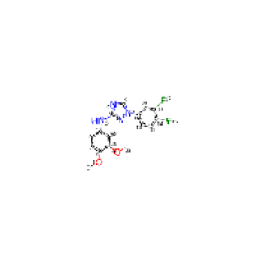 COc1ccc(Nc2ncn(-c3ccc(F)c(F)c3)n2)cc1OC